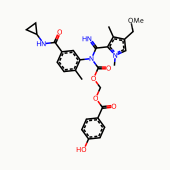 COCc1cn(C)c(C(=N)N(C(=O)OCOC(=O)c2ccc(O)cc2)c2cc(C(=O)NC3CC3)ccc2C)c1C